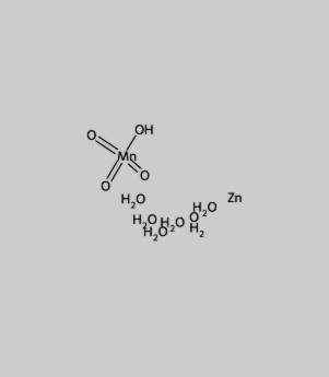 O.O.O.O.O.O.[O]=[Mn](=[O])(=[O])[OH].[Zn]